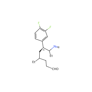 C=NC(CC)[C@@H](CC(CC)CCC=O)c1ccc(F)c(F)c1